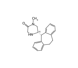 CN1C[C@H](C2c3ccccc3CCc3ccccc32)NCC1=O